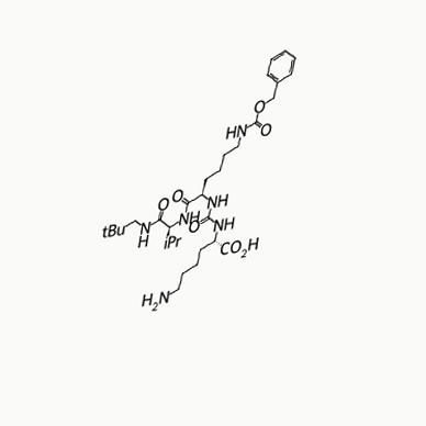 CC(C)[C@H](NC(=O)[C@@H](CCCCNC(=O)OCc1ccccc1)NC(=O)N[C@@H](CCCCN)C(=O)O)C(=O)NCC(C)(C)C